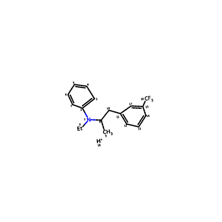 CCN(c1ccccc1)C(C)Cc1cccc(C(F)(F)F)c1.[H+]